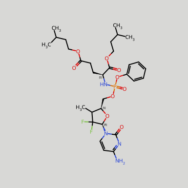 CC(C)CCOC(=O)CC[C@H](NP(=O)(OC[C@H]1O[C@@H](n2ccc(N)nc2=O)C(F)(F)C1C)Oc1ccccc1)C(=O)OCCC(C)C